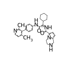 Cc1ccnc(C)c1-c1ccc(NC(=O)[C@@H](NC(=O)c2ccc3n2CCNC3)C2CCCCC2)cc1